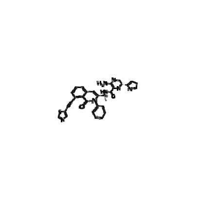 C[C@@H](NC(=O)c1nc(C2=CCC=N2)cnc1N)c1cc2cccc(C#Cc3cncs3)c2c(=O)n1-c1ccccc1